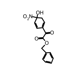 O=C(OCc1ccccc1)C(=O)C1=CCC(O)([N+](=O)[O-])C=C1